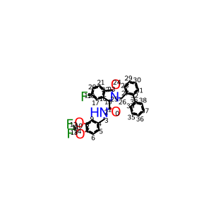 O=C(NCc1ccc2c(c1)OC(F)(F)O2)C1c2cc(F)ccc2C(=O)N1Cc1ccccc1-c1ccccc1